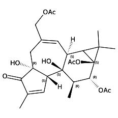 CC(=O)OCC1=C[C@H]2C3C(C)(C)[C@]3(OC(C)=O)[C@H](OC(C)=O)[C@@H](C)[C@]2(O)[C@@H]2C=C(C)C(=O)[C@@]2(O)C1